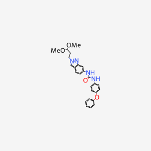 COC(CCn1cc2ccc(NC(=O)Nc3ccc(Oc4ccccc4)cc3)cc2n1)OC